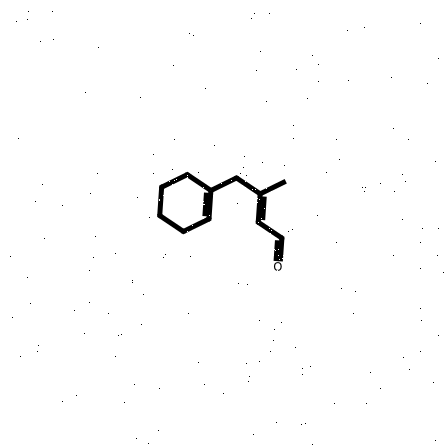 CC(=CC=O)CC1=CCCCC1